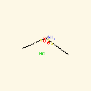 CCCCCCCCCCCCCCSCC(=O)OC(CN)CSC(=O)CSCCCCCCCCCCCCCC.Cl